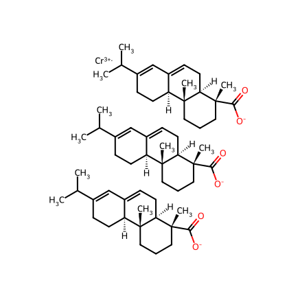 CC(C)C1=CC2=CC[C@@H]3[C@](C)(CCC[C@@]3(C)C(=O)[O-])[C@H]2CC1.CC(C)C1=CC2=CC[C@@H]3[C@](C)(CCC[C@@]3(C)C(=O)[O-])[C@H]2CC1.CC(C)C1=CC2=CC[C@@H]3[C@](C)(CCC[C@@]3(C)C(=O)[O-])[C@H]2CC1.[Cr+3]